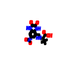 CC(C)(C)[C@H](NCc1cc([N+](=O)[O-])cc2[nH]c(=O)c(=O)[nH]c12)C(=O)O